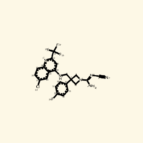 N#CN=C(N)N1CC(CNc2cc(C(F)(F)F)nc3ccc(Cl)cc23)(c2ccc(F)cc2)C1